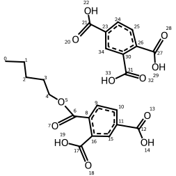 CCCCCOC(=O)c1ccc(C(=O)O)cc1C(=O)O.O=C(O)c1ccc(C(=O)O)c(C(=O)O)c1